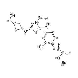 Cc1cc(-c2ncnn3cc(OC4CC(CO)C4)cc23)ccc1CNC(=O)OC(C)(C)C